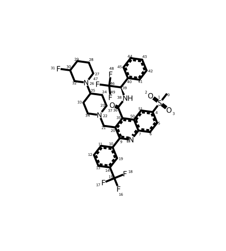 CS(=O)(=O)c1ccc2nc(-c3cccc(C(F)(F)F)c3)c(CN3CCC(N4CCCC(F)C4)CC3)c(C(=O)N[C@H](c3ccccc3)C(F)(F)F)c2c1